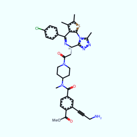 COC(=O)c1ccc(C(=O)N(C)C2CCN(C(=O)C[C@@H]3N=C(c4ccc(Cl)cc4)c4c(sc(C)c4C)-n4c(C)nnc43)CC2)cc1C#CCN